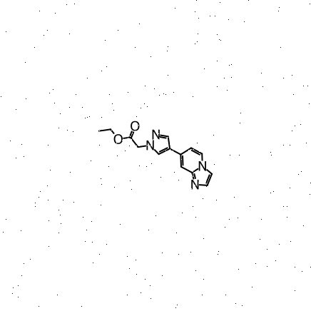 CCOC(=O)Cn1cc(-c2ccn3ccnc3c2)cn1